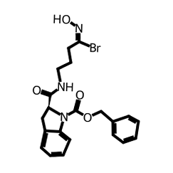 O=C(NCCC/C(Br)=N\O)[C@@H]1Cc2ccccc2N1C(=O)OCc1ccccc1